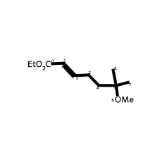 CCOC(=O)C=CCCC(C)(C)OC